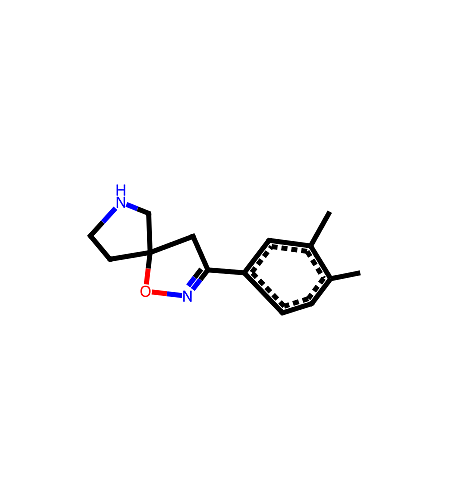 Cc1ccc(C2=NOC3(CCNC3)C2)cc1C